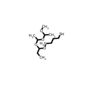 CCC(O[SiH2]CCCS)OC(C)OC(C)OC